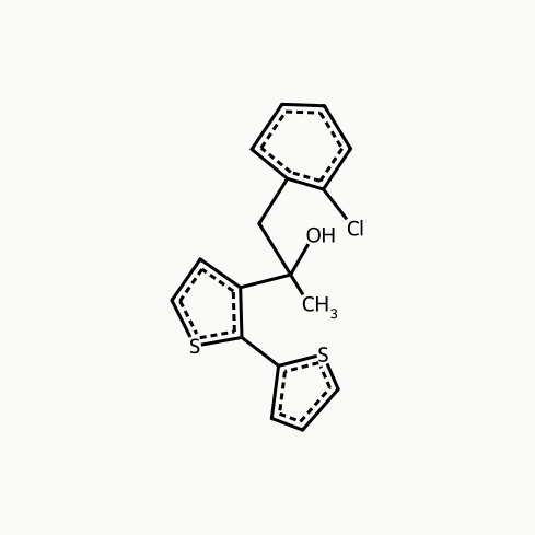 CC(O)(Cc1ccccc1Cl)c1ccsc1-c1cccs1